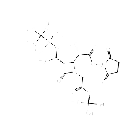 C[C@H](C(=O)ON1C(=O)CCC1=O)[C@@H]1[C@@H]([C@@H](C)O[Si](C)(C)C(C)(C)C)C(=O)N1CC(=O)OC(C)(C)C